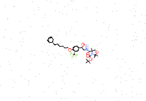 CC(C)(C)OC(=O)N1C(C)(C)OCC1(C)C(=O)NCC(=O)c1ccc(OCCCCCCc2ccccc2)c(C(F)(F)F)c1